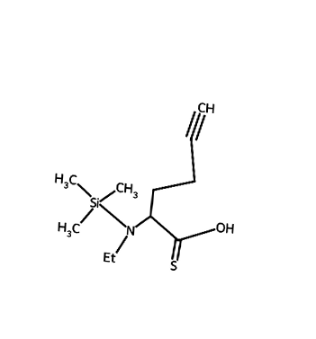 C#CCCC(C(O)=S)N(CC)[Si](C)(C)C